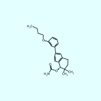 CCCCOc1cccc(-c2ccc3c(c2)CCC(C)(C)[C@H]3OC(N)=O)c1